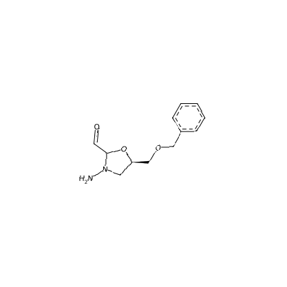 NN1C[C@H](COCc2ccccc2)OC1C=O